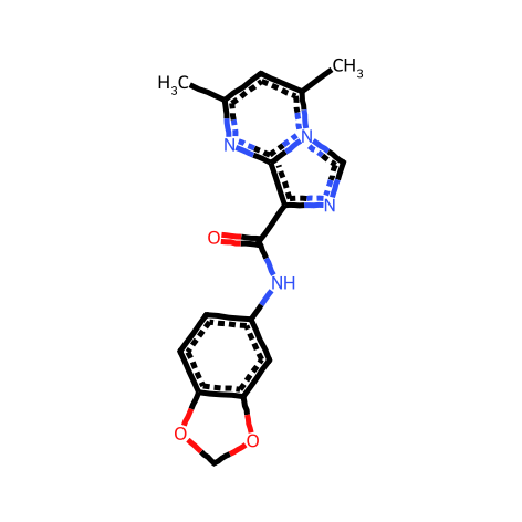 Cc1cc(C)n2cnc(C(=O)Nc3ccc4c(c3)OCO4)c2n1